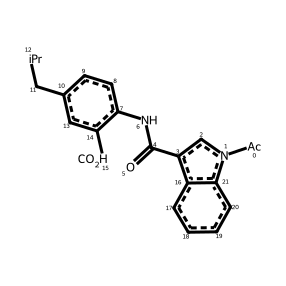 CC(=O)n1cc(C(=O)Nc2ccc(CC(C)C)cc2C(=O)O)c2ccccc21